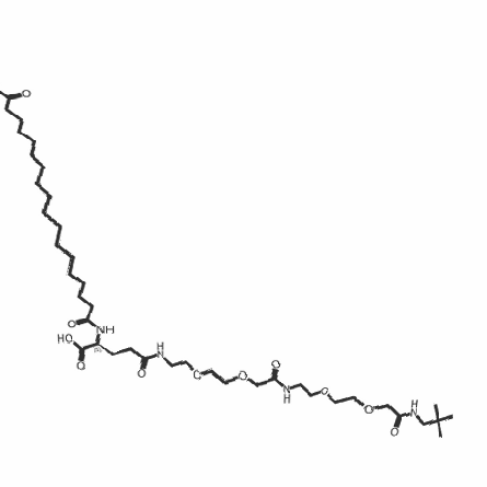 CC(C)(C)CNC(=O)COCCOCCNC(=O)COCCOCCNC(=O)CC[C@H](NC(=O)CCCCCCCCCCCCCCCCC(=O)O)C(=O)O